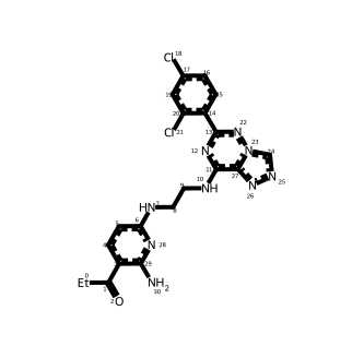 CCC(=O)c1ccc(NCCNc2nc(-c3ccc(Cl)cc3Cl)nn3cnnc23)nc1N